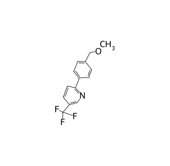 COCc1ccc(-c2ccc(C(F)(F)F)cn2)cc1